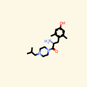 Cc1cc(O)cc(C)c1C[C@H](N)C(=O)N1CCN(CC(C)C)CC1